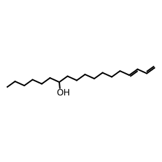 C=CC=CCCCCCCCC(O)CCCCCC